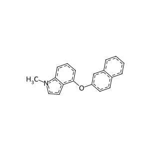 Cn1ccc2c(Oc3ccc4ccccc4c3)cccc21